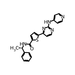 C[C@@H](NC(=O)c1ccc(-c2ccnc(Nc3ccncc3)n2)s1)c1ccccc1